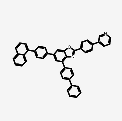 c1ccc(-c2ccc(-c3cc(-c4ccc(-c5cccc6ccccc56)cc4)cc4oc(-c5ccc(-c6cccnc6)cc5)nc34)cc2)cc1